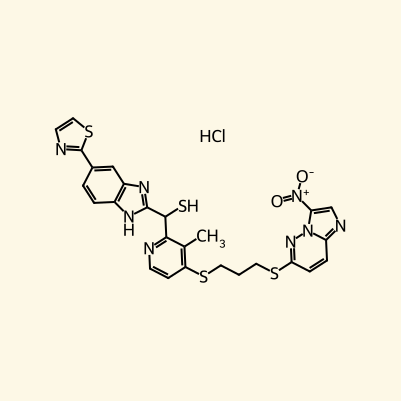 Cc1c(SCCCSc2ccc3ncc([N+](=O)[O-])n3n2)ccnc1C(S)c1nc2cc(-c3nccs3)ccc2[nH]1.Cl